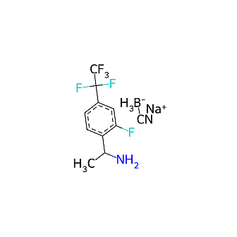 CC(N)c1ccc(C(F)(F)C(F)(F)F)cc1F.[BH3-]C#N.[Na+]